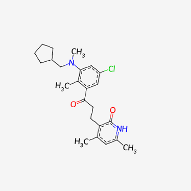 Cc1cc(C)c(CCC(=O)c2cc(Cl)cc(N(C)CC3CCCC3)c2C)c(=O)[nH]1